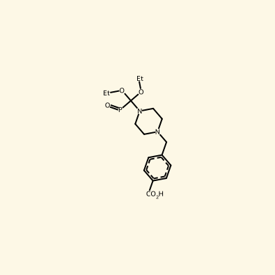 CCOC(OCC)(P=O)N1CCN(Cc2ccc(C(=O)O)cc2)CC1